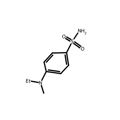 CCN(C)c1ccc(S(N)(=O)=O)cc1